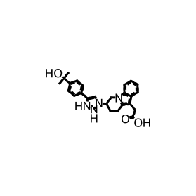 CC(C)(O)c1ccc(C2=CN(C3CCc4c(CC(=O)O)c5ccccc5n4C3)NN2)cc1